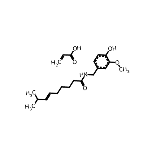 C=CC(=O)O.COc1cc(CNC(=O)CCCCC=CC(C)C)ccc1O